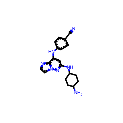 N#Cc1ccc(Nc2cc(NC3CCC(N)CC3)nn3ccnc23)cc1